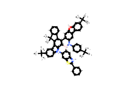 CC(C)(C)c1ccc(N2B3c4cc5nc(-c6ccccc6)sc5cc4-n4c5ccc(C(C)(C)C)cc5c5c6c(c(c3c54)-c3cc4oc5cc(C(C)(C)C)ccc5c4cc32)-c2ccccc2C6(C)C)cc1